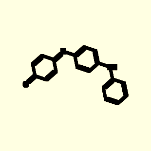 O=C1C=CC(=Nc2ccc(Nc3ccccc3)cc2)C=C1